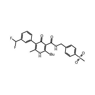 CCC(C)c1[nH]c(C)c(-c2cccc(C(F)F)c2)c(=O)c1C(=O)NCc1ccc(S(C)(=O)=O)cc1